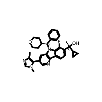 Cc1ncn(C)c1-c1cnc2c3ccc([C@](C)(O)C4CC4)c(F)c3n([C@H](c3ccccc3)C3CCOCC3)c2c1